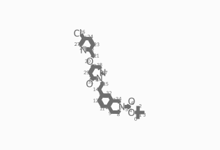 CC(C)(C)OC(=O)N1CCc2ccc(CCn3ncc(OCc4ccc(Cl)cn4)cc3=O)cc2C1